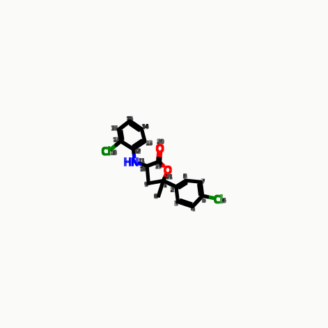 CC1(c2ccc(Cl)cc2)CC(Nc2ccccc2Cl)C(=O)O1